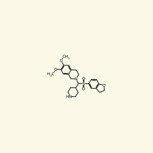 COc1cc2c(cc1OC)CN(C(C1CCNCC1)S(=O)(=O)c1ccc3c(c1)CCO3)CC2